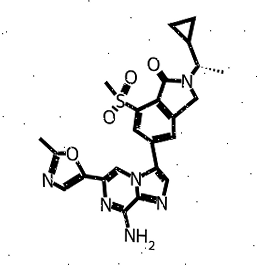 Cc1ncc(-c2cn3c(-c4cc5c(c(S(C)(=O)=O)c4)C(=O)N([C@@H](C)C4CC4)C5)cnc3c(N)n2)o1